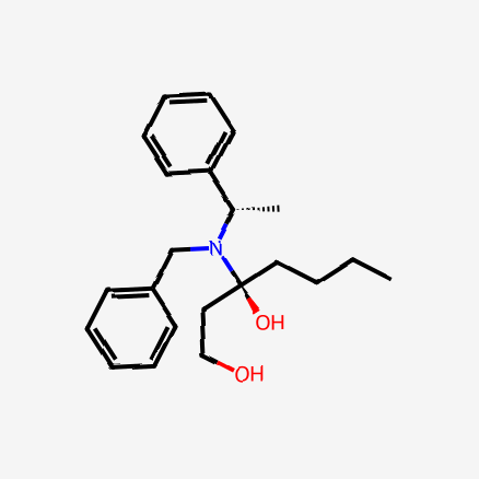 CCCC[C@](O)(CCO)N(Cc1ccccc1)[C@@H](C)c1ccccc1